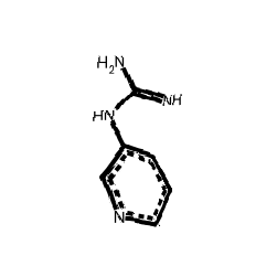 N=C(N)Nc1cc[c]nc1